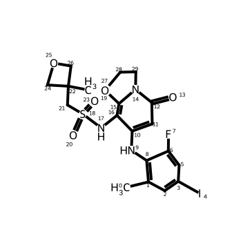 Cc1cc(I)cc(F)c1Nc1cc(=O)n2c(c1NS(=O)(=O)CC1(C)COC1)OCC2